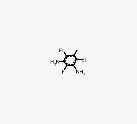 CCc1c(C)c(CC)c(N)c(F)c1N